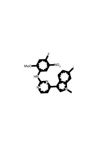 COc1cc(F)c([N+](=O)[O-])cc1Nc1nccc(-c2cn(C)c3cc(I)ccc23)n1